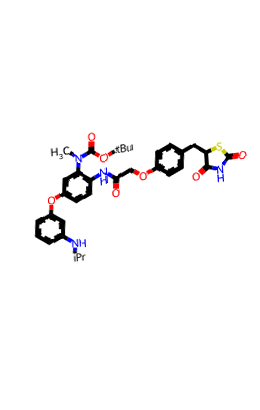 CC(C)Nc1cccc(Oc2ccc(NC(=O)COc3ccc(CC4SC(=O)NC4=O)cc3)c(N(C)C(=O)OC(C)(C)C)c2)c1